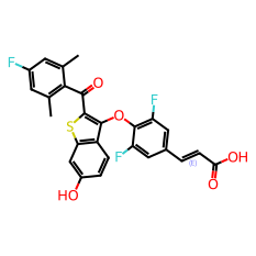 Cc1cc(F)cc(C)c1C(=O)c1sc2cc(O)ccc2c1Oc1c(F)cc(/C=C/C(=O)O)cc1F